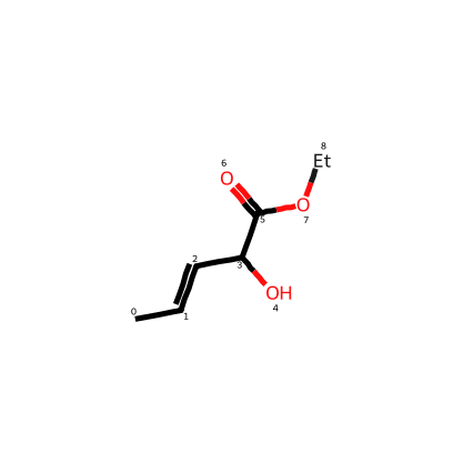 CC=CC(O)C(=O)OCC